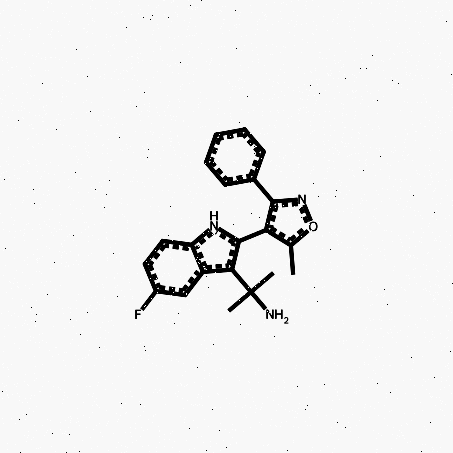 Cc1onc(-c2ccccc2)c1-c1[nH]c2ccc(F)cc2c1C(C)(C)N